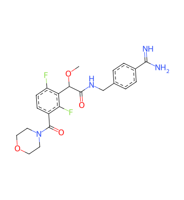 COC(C(=O)NCc1ccc(C(=N)N)cc1)c1c(F)ccc(C(=O)N2CCOCC2)c1F